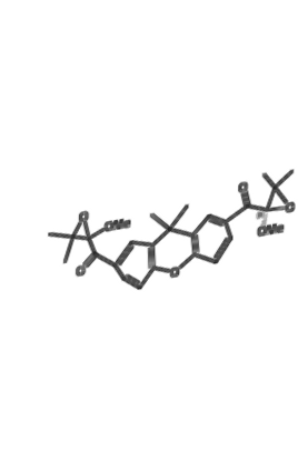 COC1(C(=O)c2ccc3c(c2)C(C)(C)c2cc(C(=O)[C@]4(OC)OC4(C)C)ccc2O3)OC1(C)C